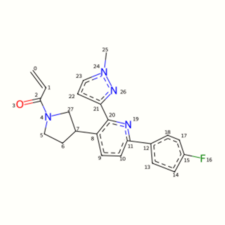 C=CC(=O)N1CCC(c2ccc(-c3ccc(F)cc3)nc2-c2ccn(C)n2)C1